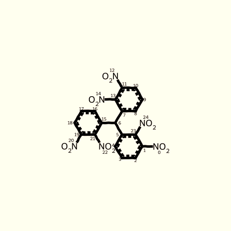 O=[N+]([O-])c1cccc(C(c2cccc([N+](=O)[O-])c2[N+](=O)[O-])c2cccc([N+](=O)[O-])c2[N+](=O)[O-])c1[N+](=O)[O-]